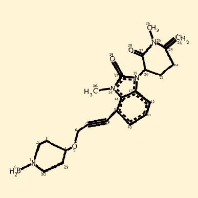 BN1CCC(OCC#Cc2cccc3c2n(C)c(=O)n3C2CCC(=C)N(C)C2=O)CC1